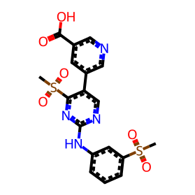 CS(=O)(=O)c1cccc(Nc2ncc(-c3cncc(C(=O)O)c3)c(S(C)(=O)=O)n2)c1